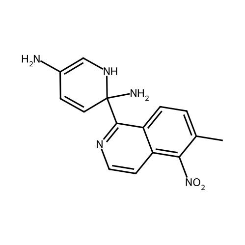 Cc1ccc2c(C3(N)C=CC(N)=CN3)nccc2c1[N+](=O)[O-]